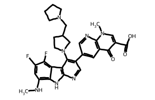 CNc1cc(F)c(F)c2c1[nH]c1ncc(-c3cnc4c(c3)c(=O)c(C(=O)O)cn4C)c(N3CCC(CN4CCCC4)C3)c12